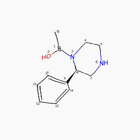 CB(O)N1CCNC[C@H]1c1ccccc1